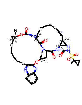 CC1(S(=O)(=O)NC(=O)[C@@]23C[C@H]2/C=C\CCCCC[C@@H]2NC(=O)O[C@@H]4C[C@H]4CCCCCc4nc5ccccc5nc4O[C@@H]4CC(C(=O)N3)N(C4)C2=O)CC1